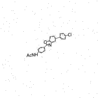 CC(=O)Nc1ccc(-c2nc3cc(-c4ccc(Cl)cc4)ccc3o2)cc1